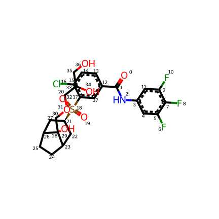 O=C(Nc1cc(F)c(F)c(F)c1)c1ccc(Cl)c(S(=O)(=O)[C@H]2CC3CCC(C2)[C@]3(O)COCC(O)CO)c1